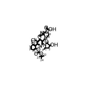 CC1CC(O)CN1c1nc(-c2c(F)cccc2OC(=O)OC(C)(C)C)c(Cl)c2c1C(=O)N1CCN(C(=O)O)C[C@H]1CO2